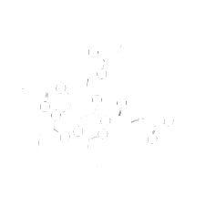 CCCC(=O)OC[C@H]1O[C@@H](OC(=O)/C=C/C(=O)OC)[C@H](OC(=O)CCC)[C@@H](OC(=O)CCC)[C@H]1OC(=O)CCC